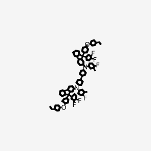 C=Cc1ccc(Oc2ccc(C3(c4ccc(F)c(F)c4)c4ccccc4-c4ccc(N(c5ccc(-c6ccc(N(c7ccc(F)c(C)c7)c7ccc8c(c7)C(c7ccc(Oc9ccc(C=C)cc9)cc7)(c7ccc(F)c(F)c7)c7ccccc7-8)cc6)cc5)c5ccc(F)c(C)c5)cc43)cc2)cc1